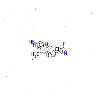 CC1C[C@H]2C3=CC=C(c4cncc(F)c4)[C@@]3(C)CC[C@@H]2[C@@]2(C)CCC(=N)C=C12